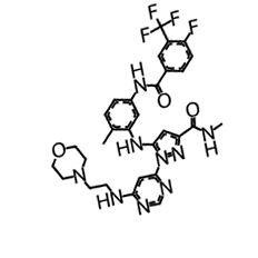 CNC(=O)c1cc(Nc2cc(NC(=O)c3ccc(F)c(C(F)(F)F)c3)ccc2C)n(-c2cc(NCCN3CCOCC3)ncn2)n1